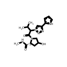 CNC(=O)[C@H]1CC(O)CN1C(=O)C(C(C)C)n1cc(-c2ccc[nH]2)nn1